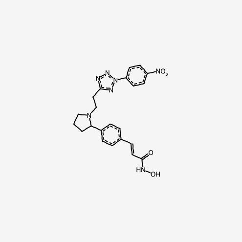 O=C(C=Cc1ccc(C2CCCN2CCc2nnn(-c3ccc([N+](=O)[O-])cc3)n2)cc1)NO